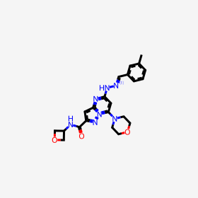 Cc1cccc(/C=N/Nc2cc(N3CCOCC3)n3nc(C(=O)NC4COC4)cc3n2)c1